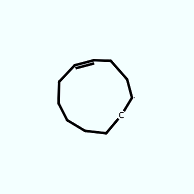 [CH]1CCC=CCCCCCC1